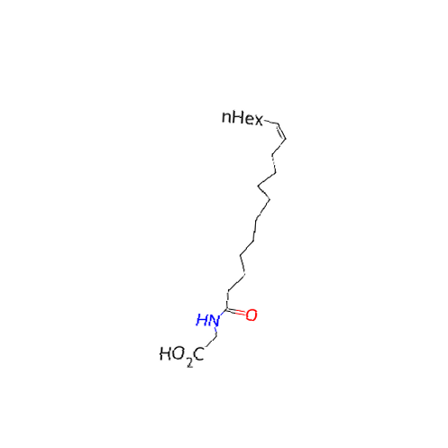 CCCCCC/C=C\CCCCCCCCCC(=O)NCC(=O)O